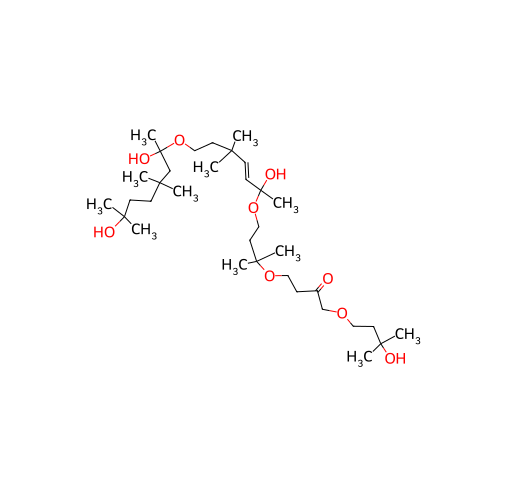 CC(C)(O)CCOCC(=O)CCOC(C)(C)CCOC(C)(O)/C=C/C(C)(C)CCOC(C)(O)CC(C)(C)CCC(C)(C)O